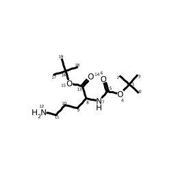 CC(C)(C)OC(=O)NC(CCCN)C(=O)OC(C)(C)C